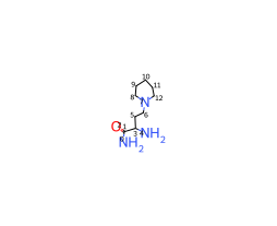 NC(=O)C(N)CCN1CCCCC1